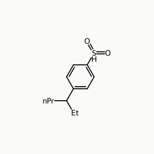 CCCC(CC)c1ccc([SH](=O)=O)cc1